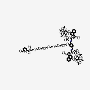 CC(=O)OC[C@H]1O[C@@H](Oc2cc3c(c4ccccc24)[C@H](CCl)CN3C(=O)/C=C/c2ccc(/C=C/C(=O)N3C[C@@H](CCl)c4c3cc(O[C@@H]3O[C@H](COC(C)=O)[C@H](OC(C)=O)[C@H](OC(C)=O)[C@H]3OC(C)=O)c3ccccc43)c(OCCOCCOCCOCCOCCOCCOCCOCCNC(=O)c3cccc(C=O)n3)c2)[C@H](OC(C)=O)[C@@H](OC(C)=O)[C@H]1OC(C)=O